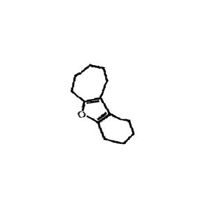 C1CCc2oc3c(c2CC1)CCCC3